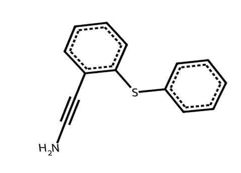 NC#Cc1ccccc1Sc1ccccc1